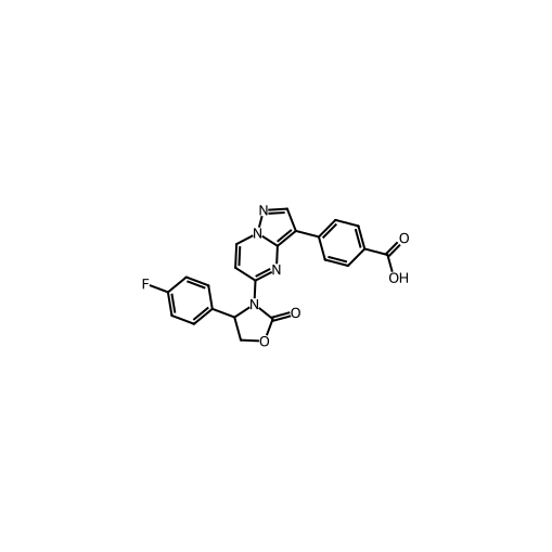 O=C(O)c1ccc(-c2cnn3ccc(N4C(=O)OCC4c4ccc(F)cc4)nc23)cc1